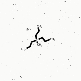 CCC[P+](C)(CCC)CCC.[Br-]